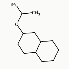 CC(C)C(C)OC1CCC2CCCCC2C1